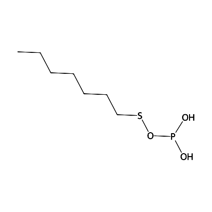 CCCCCCCSOP(O)O